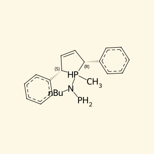 CCCCN(P)[PH]1(C)[C@@H](c2ccccc2)C=C[C@H]1c1ccccc1